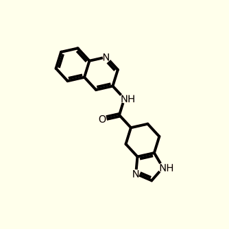 O=C(Nc1cnc2ccccc2c1)C1CCc2[nH]cnc2C1